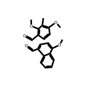 COc1ccc(C=O)c(OC)c1C.COc1ccc(C=O)c2ccccc12